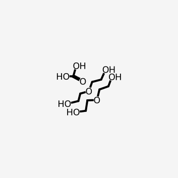 O=C(O)O.OCCOCCO.OCCOCCO